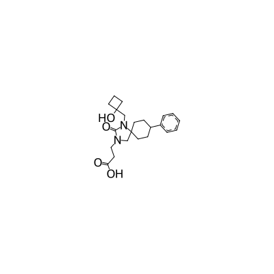 O=C(O)CCN1CC2(CCC(c3ccccc3)CC2)N(CC2(O)CCC2)C1=O